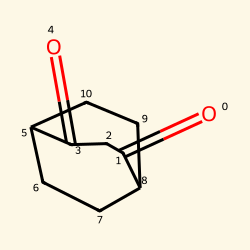 O=C1CC(=O)C2CCC1CC2